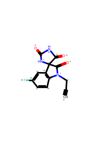 C#CCN1C(=O)C2(NC(=O)NC2=O)c2cc(F)ccc21